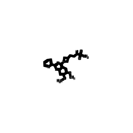 COc1cc2nc(-c3ccccn3)nc(N3CC(CCNS(N)(=O)=O)C3)c2cc1OC